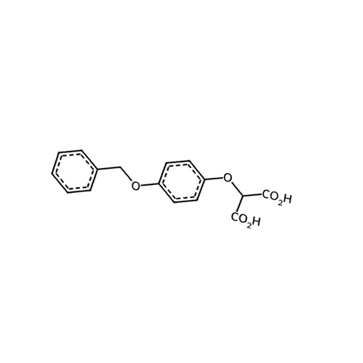 O=C(O)C(Oc1ccc(OCc2ccccc2)cc1)C(=O)O